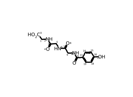 O=C(O)CNC(=O)CNC(=O)CNC(=O)c1ccc(O)cc1